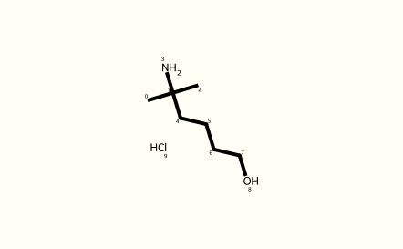 CC(C)(N)CCCCO.Cl